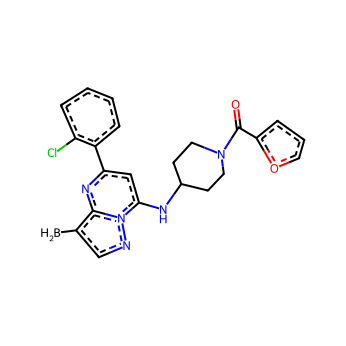 Bc1cnn2c(NC3CCN(C(=O)c4ccco4)CC3)cc(-c3ccccc3Cl)nc12